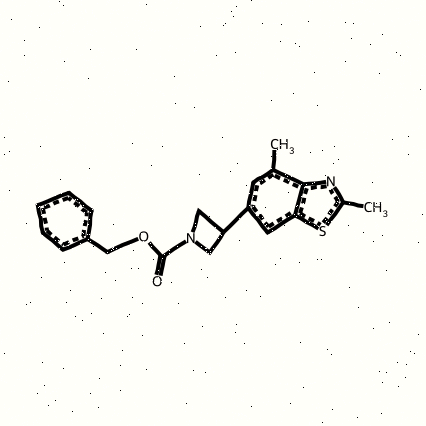 Cc1nc2c(C)cc(C3CN(C(=O)OCc4ccccc4)C3)cc2s1